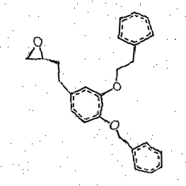 c1ccc(CCOc2cc(CC[C@H]3CO3)ccc2OCc2ccccc2)cc1